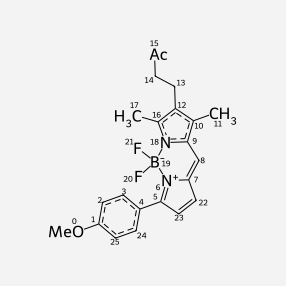 COc1ccc(C2=[N+]3C(=Cc4c(C)c(CCC(C)=O)c(C)n4[B-]3(F)F)C=C2)cc1